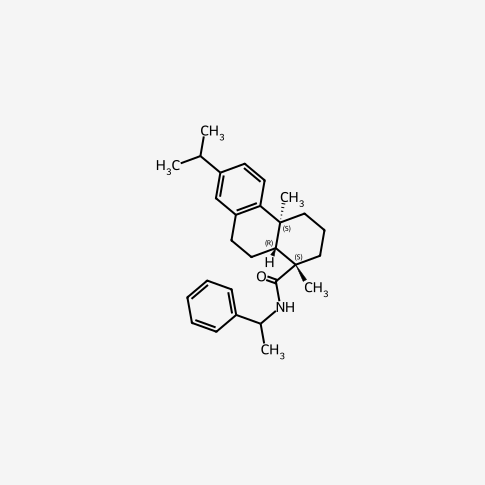 CC(C)c1ccc2c(c1)CC[C@H]1[C@@](C)(C(=O)NC(C)c3ccccc3)CCC[C@]21C